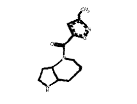 Cc1cc(C(=O)N2CCCC3NCCC32)on1